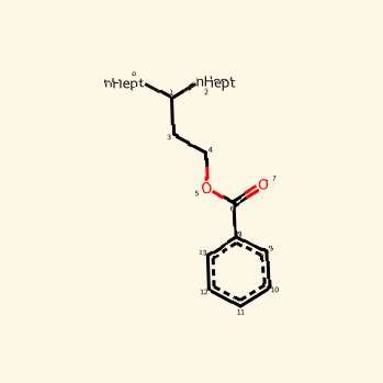 CCCCCCCC(CCCCCCC)CCOC(=O)c1ccccc1